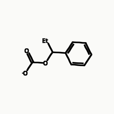 CCC(OC([O])=O)c1ccccc1